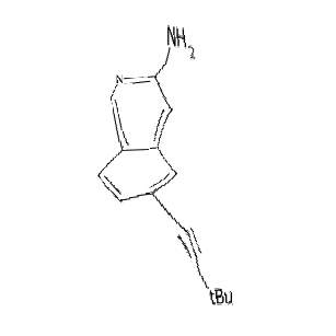 CC(C)(C)C#Cc1ccc2cnc(N)cc2c1